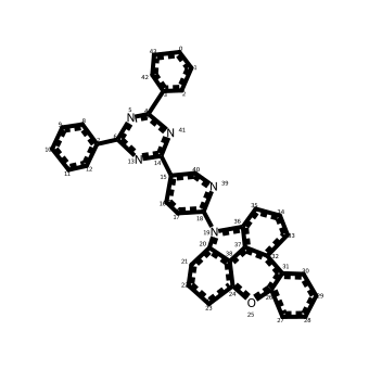 c1ccc(-c2nc(-c3ccccc3)nc(-c3ccc(-n4c5cccc6oc7ccccc7c7cccc4c7c65)nc3)n2)cc1